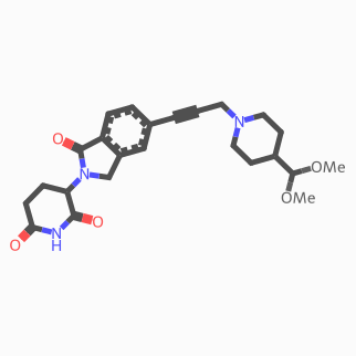 COC(OC)C1CCN(CC#Cc2ccc3c(c2)CN(C2CCC(=O)NC2=O)C3=O)CC1